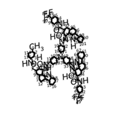 Cc1ccc(NOCc2cc3ccc4c5ccccc5[nH]c4c3c(N=Nc3ccc(N(c4ccc(N=Nc5c(O)c(C(=O)Nc6ccc(C(F)(F)F)cc6)cc6ccc7c8ccccc8[nH]c7c56)cc4)c4ccc(N=Nc5c(O)c(C(=O)Nc6ccc(C(F)(F)F)cc6)cc6ccc7c8ccccc8[nH]c7c56)cc4)cc3)c2O)cc1